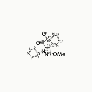 COc1nn(-c2ccccc2)c2c1-c1ccccc1C(=O)C2=O